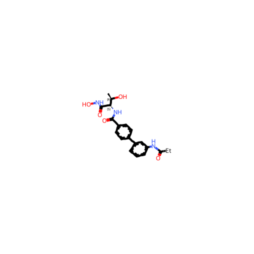 CCC(=O)Nc1cccc(-c2ccc(C(=O)N[C@H](C(=O)NO)[C@@H](C)O)cc2)c1